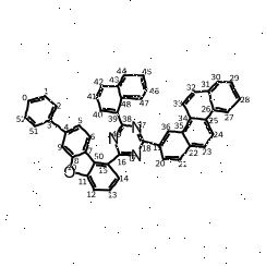 c1ccc(-c2ccc3c(c2)oc2cccc(-c4nc(-c5ccc6ccc7c8ccccc8ccc7c6c5)nc(-c5cccc6ccccc56)n4)c23)cc1